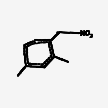 Cc1ccc([CH][N+](=O)[O-])c(C)c1